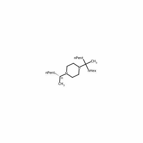 CCCCCCC(C)(CCCCC)N1CCN([C@H](C)CCCCC)CC1